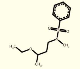 CCOC(C)CCN(C)S(=O)(=O)c1ccccc1